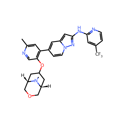 Cc1cc(-c2ccn3nc(Nc4cc(C(F)(F)F)ccn4)cc3c2)c(OC2C[C@H]3COC[C@@H](C2)N3C)cn1